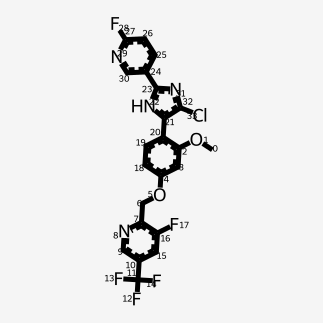 COc1cc(OCc2ncc(C(F)(F)F)cc2F)ccc1-c1[nH]c(-c2ccc(F)nc2)nc1Cl